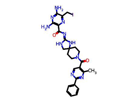 Cc1nc(-c2ccccc2)ncc1C(=O)N1CCC2(CC1)CN/C(=N\C(=O)c1nc(CI)c(N)nc1N)N2